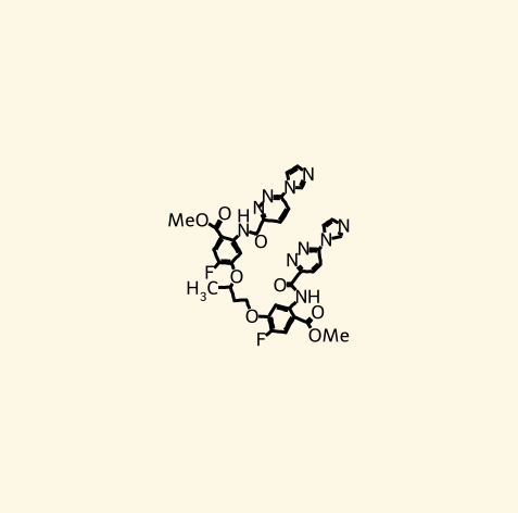 COC(=O)c1cc(F)c(OCCC(C)Oc2cc(NC(=O)c3ccc(-n4ccnc4)nn3)c(C(=O)OC)cc2F)cc1NC(=O)c1ccc(-n2ccnc2)nn1